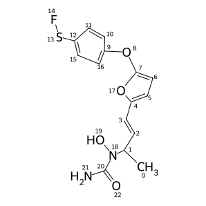 CC(/C=C/c1ccc(Oc2ccc(SF)cc2)o1)N(O)C(N)=O